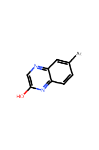 CC(=O)c1ccc2nc(O)cnc2c1